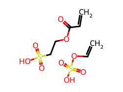 C=CC(=O)OCCS(=O)(=O)O.C=COS(=O)(=O)O